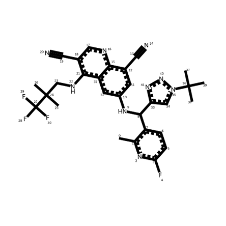 Cc1nc(F)ccc1C(Nc1cc(C#N)c2ncc(C#N)c(NCC(C)(C)C(F)(F)F)c2c1)c1cn(C(C)(C)C)nn1